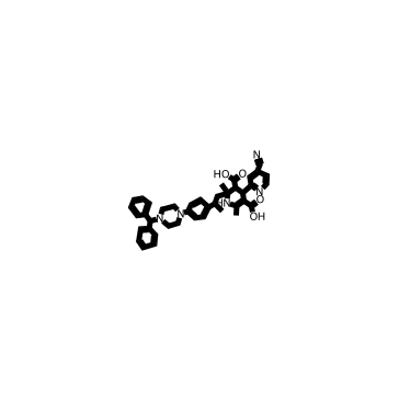 CC1=C(C(=O)O)C(c2cc(C#N)ccn2)C(C(=O)O)C(C)(CC(C)c2ccc(N3CCN(C(c4ccccc4)c4ccccc4)CC3)cc2)N1